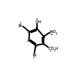 O=C(O)c1c(Br)cc(Br)c(O)c1[N+](=O)[O-]